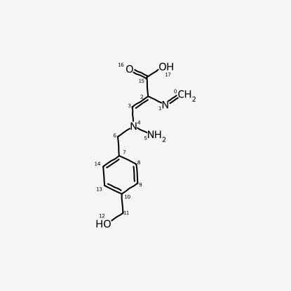 C=N/C(=C\N(N)Cc1ccc(CO)cc1)C(=O)O